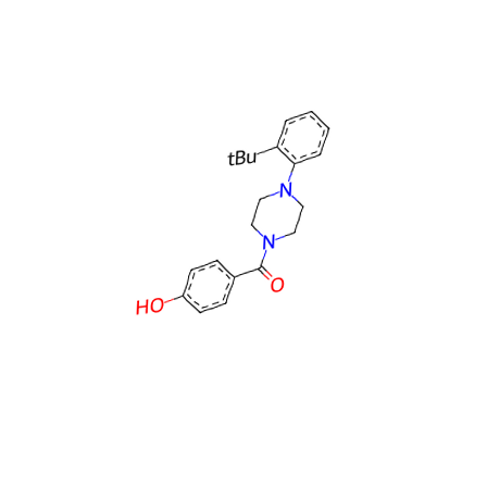 CC(C)(C)c1ccccc1N1CCN(C(=O)c2ccc(O)cc2)CC1